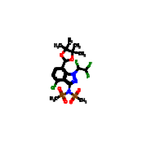 CC1(C)OB(c2ccc(Cl)c3c(N(S(C)(=O)=O)S(C)(=O)=O)nn(C(F)C(F)F)c23)OC1(C)C